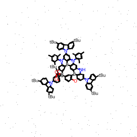 Cc1cc(C)c(N2c3cc4c(cc3B3c5cc6c(cc5N(c5c(C)cc(C)cc5C)c5cc(-n7c8ccc(C(C)(C)C)cc8c8cc(C(C)(C)C)ccc87)cc2c53)Oc2cc(-n3c5ccc(C(C)(C)C)cc5c5cc(C(C)(C)C)ccc53)cc3c2B6c2cc(C(C)(C)C)ccc2O3)B2c3cc(C(C)(C)C)ccc3Oc3cc(-n5c6ccc(C(C)(C)C)cc6c6cc(C(C)(C)C)ccc65)cc(c32)N4)c(C)c1